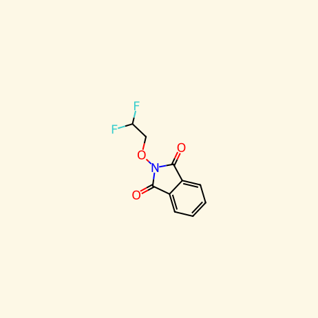 O=C1c2ccccc2C(=O)N1OCC(F)F